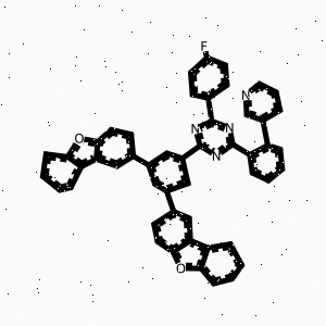 Fc1ccc(-c2nc(-c3cc(-c4ccc5oc6ccccc6c5c4)cc(-c4ccc5oc6ccccc6c5c4)c3)nc(-c3ccccc3-c3cccnc3)n2)cc1